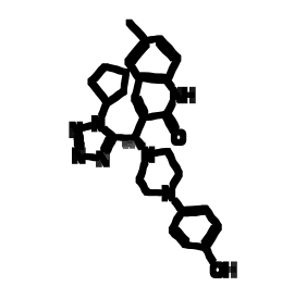 Cc1ccc2[nH]c(=O)c([C@H](c3nnnn3C3CCCC3)N3CCN(c4ccc(O)cc4)CC3)cc2c1